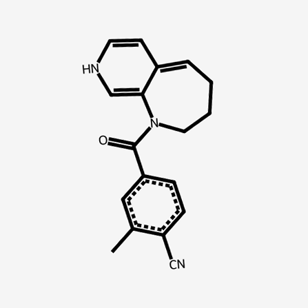 Cc1cc(C(=O)N2CCCC=C3C=CNC=C32)ccc1C#N